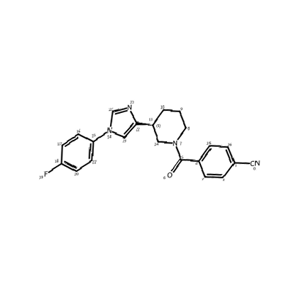 N#Cc1ccc(C(=O)N2CCC[C@H](c3cn(-c4ccc(F)cc4)cn3)C2)cc1